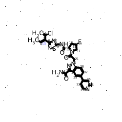 C=C(Cl)/C(=C\C)c1nsc(NC(=O)[C@@H]2C[C@@H](F)CN2C(=O)Cn2nc(C(N)=O)c3cc(-c4ccnnc4)ccc32)n1